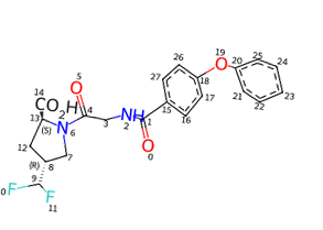 O=C(NCC(=O)N1C[C@H](C(F)F)C[C@H]1C(=O)O)c1ccc(Oc2ccccc2)cc1